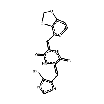 CC(C)(C)c1[nH]cnc1/C=c1\[nH]c(=O)/c(=C/c2nccc3c2OCO3)[nH]c1=O